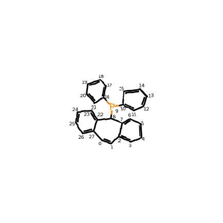 C1=Cc2ccccc2C(P(c2ccccc2)c2ccccc2)c2ccccc21